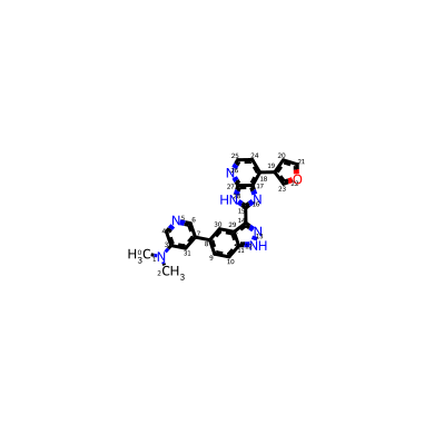 CN(C)c1cncc(-c2ccc3[nH]nc(-c4nc5c(-c6ccoc6)ccnc5[nH]4)c3c2)c1